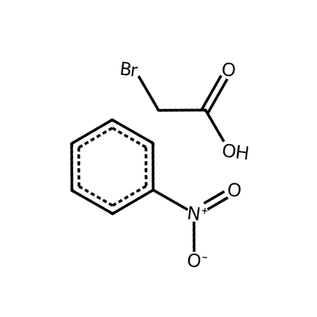 O=C(O)CBr.O=[N+]([O-])c1ccccc1